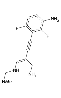 CNCN/C=C(/C#Cc1c(F)ccc(N)c1F)CN